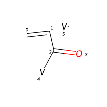 C=C[C](=O)[V].[V]